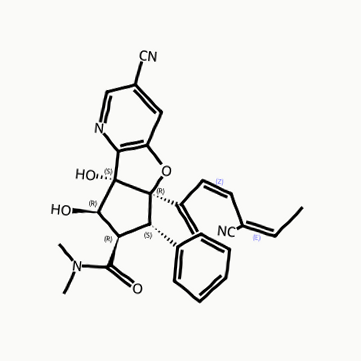 C=C(/C=C\C(C#N)=C/C)[C@@]12Oc3cc(C#N)cnc3[C@]1(O)[C@H](O)[C@H](C(=O)N(C)C)[C@H]2c1ccccc1